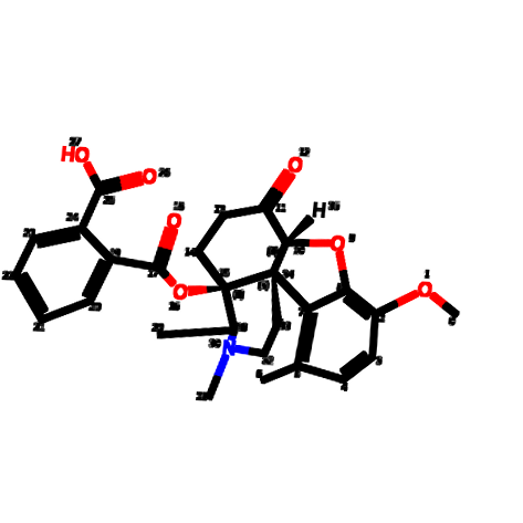 COc1ccc(C)c2c1O[C@H]1C(=O)CC[C@@]3(OC(=O)c4ccccc4C(=O)O)C(C)N(C)CC[C@]213